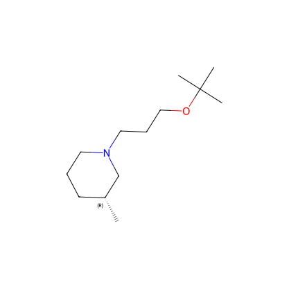 C[C@@H]1CCCN(CCCOC(C)(C)C)C1